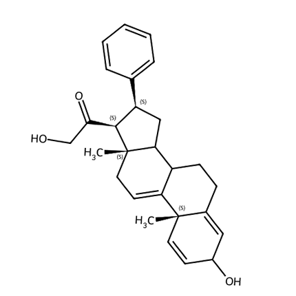 C[C@]12C=CC(O)C=C1CCC1C2=CC[C@@]2(C)C1C[C@H](c1ccccc1)[C@@H]2C(=O)CO